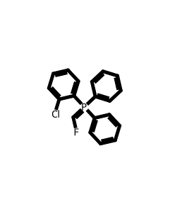 FC=P(c1ccccc1)(c1ccccc1)c1ccccc1Cl